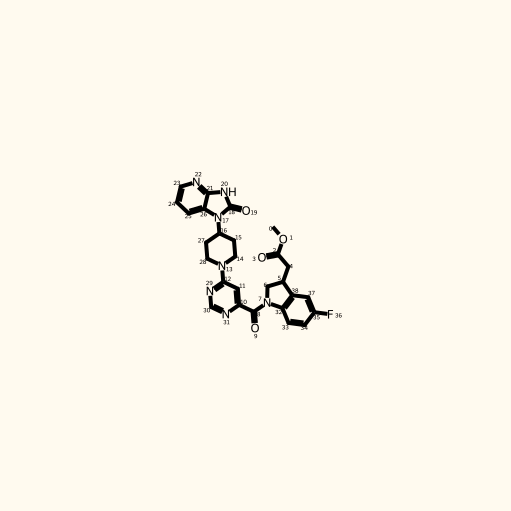 COC(=O)CC1CN(C(=O)c2cc(N3CCC(n4c(=O)[nH]c5ncccc54)CC3)ncn2)c2ccc(F)cc21